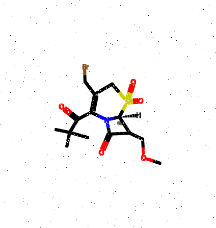 COCC1C(=O)N2C(C(=O)C(C)(C)C)=C(CBr)CS(=O)(=O)[C@@H]12